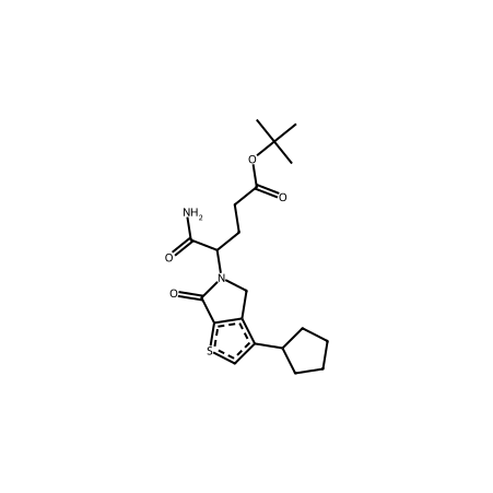 CC(C)(C)OC(=O)CCC(C(N)=O)N1Cc2c(C3CCCC3)csc2C1=O